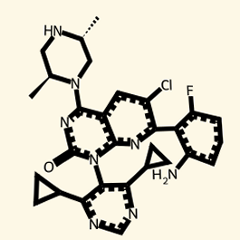 C[C@@H]1CN(c2nc(=O)n(-c3c(C4CC4)ncnc3C3CC3)c3nc(-c4c(N)cccc4F)c(Cl)cc23)[C@@H](C)CN1